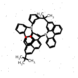 CC(C)(C)c1cc2ccc3c4cc(c5ccc(c1)c2c35)N(c1ccccc1-c1ccccc1)c1cccc(c1)C(C)(C)c1cccc(c1)N4c1ccccc1-c1ccccc1